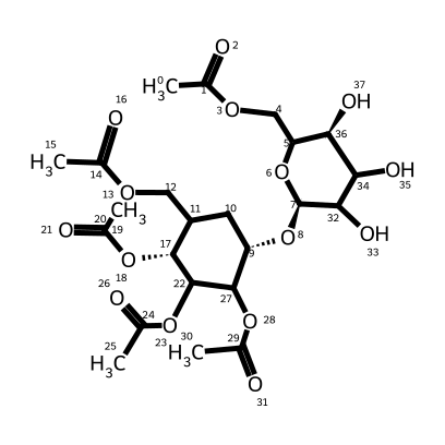 CC(=O)OCC1O[C@H](O[C@H]2CC(COC(C)=O)[C@@H](OC(C)=O)C(OC(C)=O)C2OC(C)=O)C(O)C(O)[C@@H]1O